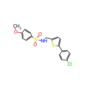 COc1ccc(S(=O)(=O)NCc2ccc(-c3ccc(Cl)cc3)s2)cc1